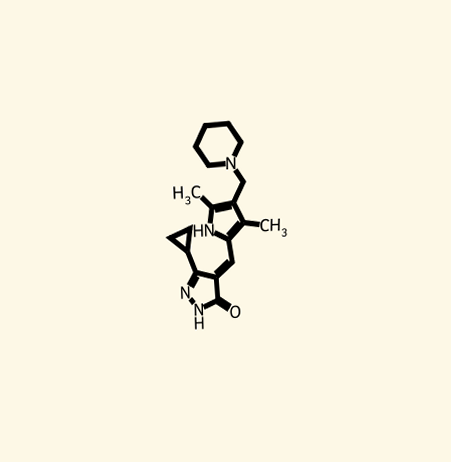 Cc1[nH]c(/C=C2/C(=O)NN=C2C2CC2)c(C)c1CN1CCCCC1